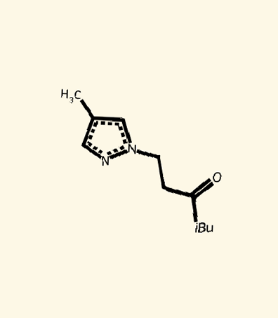 CCC(C)C(=O)CCn1cc(C)cn1